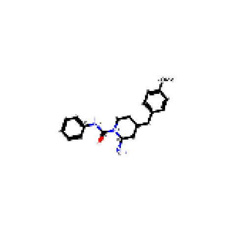 COc1ccc(CC2CCN(C(=O)Nc3ccccc3)C(N)C2)cc1